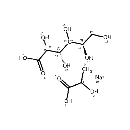 CC(O)C(=O)O.O=C(O)[C@H](O)[C@@H](O)[C-](O)[C@H](O)CO.[Na+]